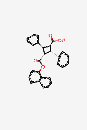 O=C(O)[C@H]1[C@H](c2ccccc2)[C@H](C(=O)Oc2cccc3ccccc23)[C@H]1c1ccccc1